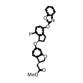 COC(=O)C[C@@H]1COc2cc(O[C@@H]3CCc4c(Oc5nc6ccccc6o5)ccc(F)c43)ccc21